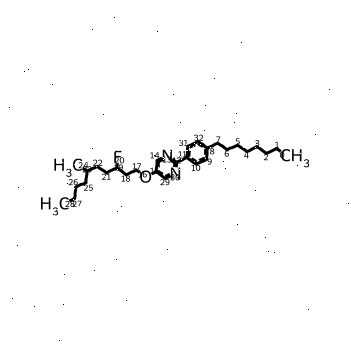 CCCCCCCCc1ccc(-c2ncc(OCCC(F)CCC(C)CCCC)cn2)cc1